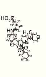 C[C@H]1COCCN1c1ccc2c(-c3nc(N[C@@H]4CCC45CN(C(=O)O)C5)ncc3C(F)(F)F)cn(S(=O)(=O)c3ccccc3)c2n1